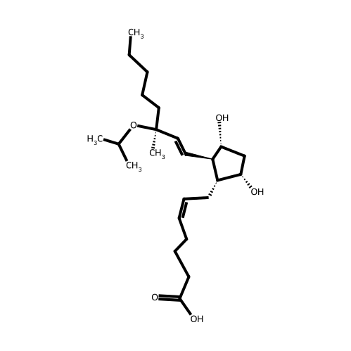 CCCCC[C@@](C)(/C=C/[C@@H]1[C@@H](C/C=C\CCCC(=O)O)[C@@H](O)C[C@H]1O)OC(C)C